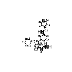 CN1C(=N)N[C@](CCC2CCCCC2)(CC2CCC[C@H](NCc3ccncc3)C2)C1=O